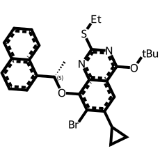 CCSc1nc(OC(C)(C)C)c2cc(C3CC3)c(Br)c(O[C@@H](C)c3cccc4ccccc34)c2n1